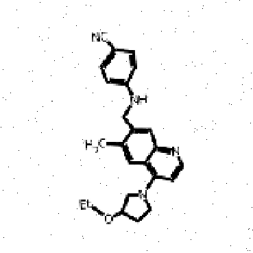 CCOC1CCN(c2ccnc3cc(CNc4ccc(C#N)cc4)c(C)cc23)C1